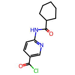 O=C(Cl)c1ccc(NC(=O)C2CCCCC2)nc1